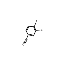 [C-]#[N+]c1ccc(F)c(Cl)c1